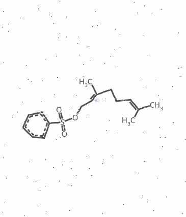 CC(C)=CCC/C(C)=C/COS(=O)(=O)c1ccccc1